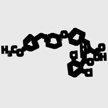 COc1ccc(CN2CCC[C@H](Oc3ccc(C[C@H](NC(=O)c4c(Cl)cccc4Cl)C(=O)O)cc3)C2)cc1